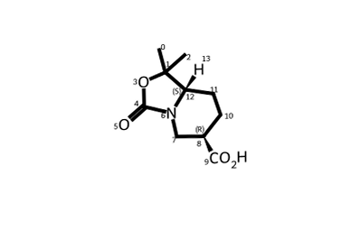 CC1(C)OC(=O)N2C[C@H](C(=O)O)CC[C@H]21